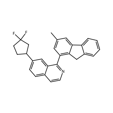 Cc1cc2c(c(-c3nccc4ccc(C5CCC(F)(F)C5)cc34)c1)Cc1ccccc1-2